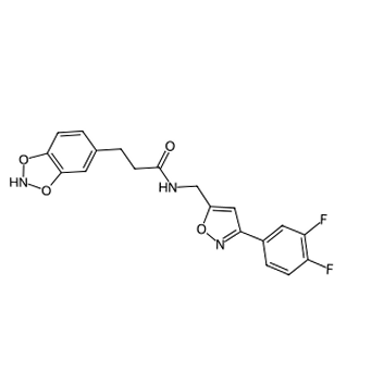 O=C(CCc1ccc2c(c1)ONO2)NCc1cc(-c2ccc(F)c(F)c2)no1